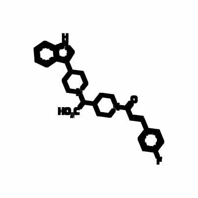 O=C(O)C(C1CCN(C(=O)C=Cc2ccc(F)cc2)CC1)N1CCC(c2c[nH]c3ccccc23)CC1